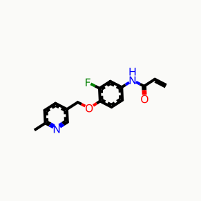 C=CC(=O)Nc1ccc(OCc2ccc(C)nc2)c(F)c1